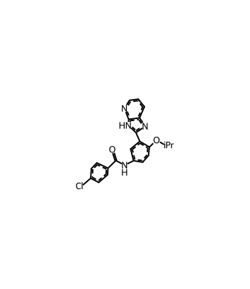 CC(C)Oc1ccc(NC(=O)c2ccc(Cl)cc2)cc1-c1nc2cccnc2[nH]1